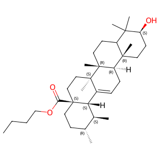 CCCCOC(=O)[C@]12CC[C@@H](C)[C@H](C)[C@H]1C1=CC[C@@H]3[C@@]4(C)CC[C@H](O)C(C)(C)C4CC[C@@]3(C)[C@]1(C)CC2